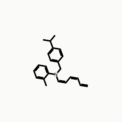 C=C/C=C\C=C/N(Cc1ccc(C(C)C)cc1)c1ccccc1C